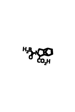 BC(=O)N1CC2C3C=CC(C3)C2[C@H]1C(=O)O